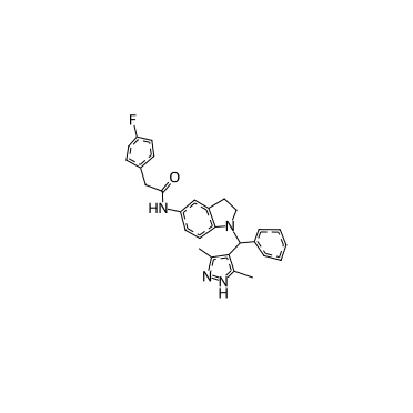 Cc1n[nH]c(C)c1C(c1ccccc1)N1CCc2cc(NC(=O)Cc3ccc(F)cc3)ccc21